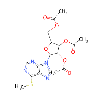 CSc1ncnc2c1ncn2C1OC(COC(C)=O)C(OC(C)=O)C1OC(C)=O